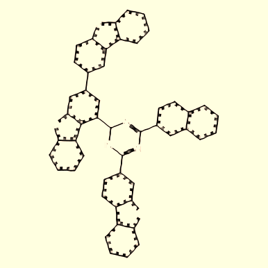 c1ccc2cc(C3=NC(c4cc(-c5ccc6sc7ccccc7c6c5)cc5oc6ccccc6c45)NC(c4ccc5c(c4)oc4ccccc45)=N3)ccc2c1